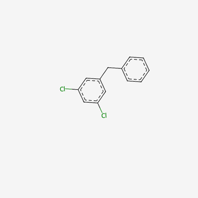 Clc1cc(Cl)cc(Cc2ccccc2)c1